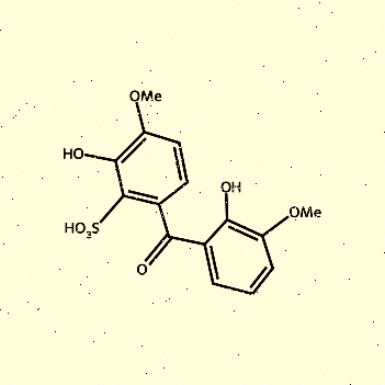 COc1cccc(C(=O)c2ccc(OC)c(O)c2S(=O)(=O)O)c1O